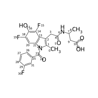 Cc1c(CC(=O)NC(C)CC(=O)O)c2c(F)c(O)c(F)cc2n1C(=O)c1cccc(F)c1